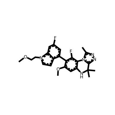 COCCn1ccc2c(-c3c(OC)cc4c(c3F)-n3c(C)nnc3C(C)(C)N4)cc(F)cc21